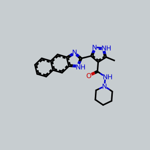 Cc1[nH]nc(-c2nc3cc4ccccc4cc3[nH]2)c1C(=O)NN1CCCCC1